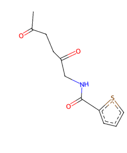 CC(=O)CCC(=O)CNC(=O)c1cccs1